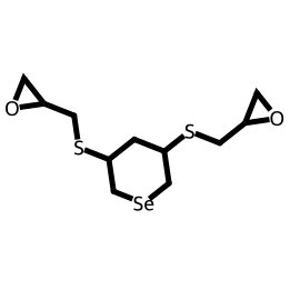 C1OC1CSC1C[Se]CC(SCC2CO2)C1